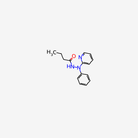 CCCC(=O)NN(c1ccccc1)c1ccccn1